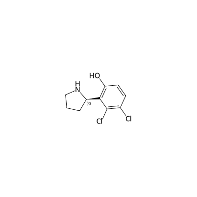 Oc1ccc(Cl)c(Cl)c1[C@H]1CCCN1